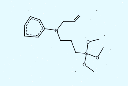 C=CCN(CCC[Si](OC)(OC)OC)c1ccccc1